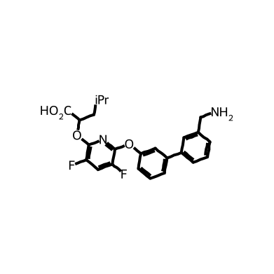 CC(C)CC(Oc1nc(Oc2cccc(-c3cccc(CN)c3)c2)c(F)cc1F)C(=O)O